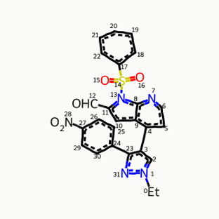 CCn1cc(-c2ccnc3c2cc(C=O)n3S(=O)(=O)c2ccccc2)c(-c2ccc([N+](=O)[O-])cc2)n1